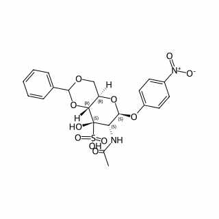 CC(=O)N[C@H]1[C@H](Oc2ccc([N+](=O)[O-])cc2)O[C@@H]2COC(c3ccccc3)O[C@H]2[C@@]1(O)S(=O)(=O)O